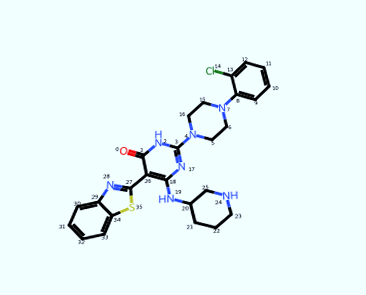 O=c1[nH]c(N2CCN(c3ccccc3Cl)CC2)nc(NC2CCCNC2)c1-c1nc2ccccc2s1